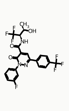 C[C@@H](O)[C@@H](NC(=O)c1cc(-c2ccc(C(F)(F)F)cc2)nn(-c2cccc(F)c2)c1=O)C(F)(F)F